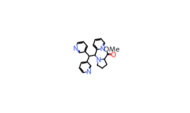 COC(=O)C1CCCN1C(c1ccccn1)C(c1cccnc1)c1cccnc1